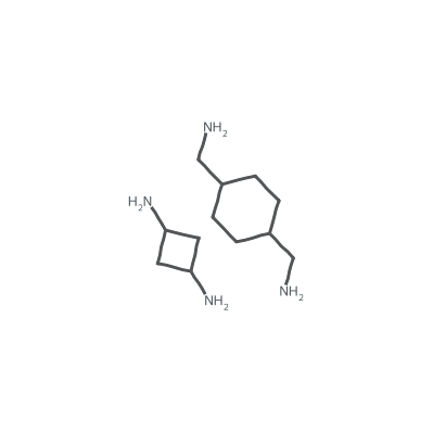 NC1CC(N)C1.NCC1CCC(CN)CC1